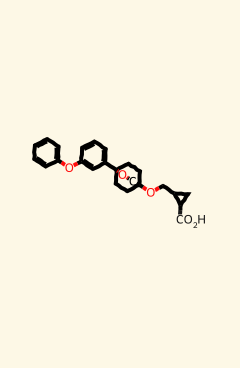 O=C(O)C1CC1COC12CCC(c3cccc(Oc4ccccc4)c3)(CC1)OC2